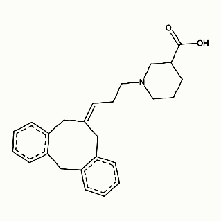 O=C(O)C1CCCN(CCC=C2Cc3ccccc3Cc3ccccc3C2)C1